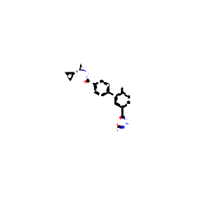 Cc1nnc(-c2ccc(C)c(-c3ccc(C(=O)NC(C)C4CC4)cc3)c2)o1